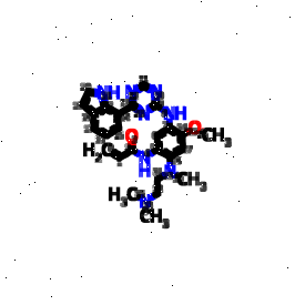 C=CC(=O)Nc1cc(Nc2ncnc(-c3cccc4cc[nH]c34)n2)c(OC)cc1N(C)CCN(C)C